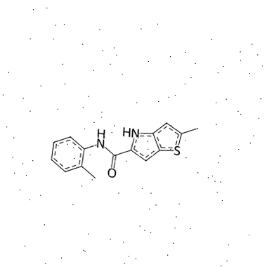 Cc1cc2[nH]c(C(=O)Nc3ccccc3C)cc2s1